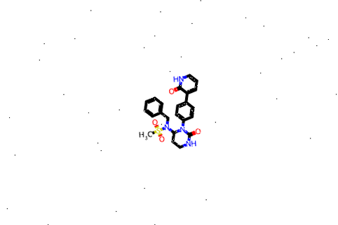 CS(=O)(=O)N(Cc1ccccc1)C1CCNC(=O)N1c1ccc(-c2ccc[nH]c2=O)cc1